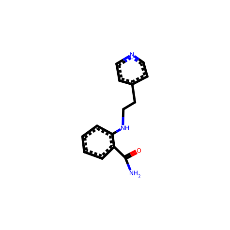 NC(=O)c1ccccc1NCCc1ccncc1